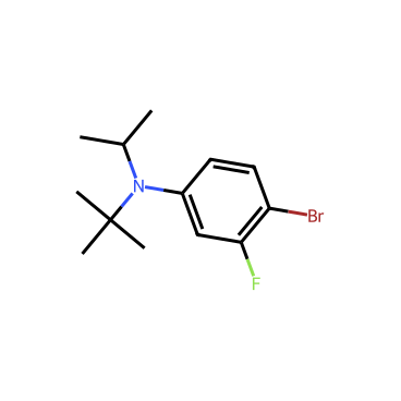 CC(C)N(c1ccc(Br)c(F)c1)C(C)(C)C